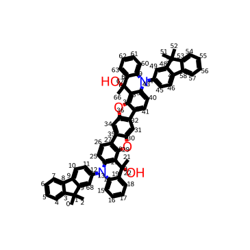 CC1(C)c2ccccc2-c2ccc(N3c4ccccc4C(C)(O)c4c3ccc3c4oc4cc5c(cc43)oc3c4c(ccc35)N(c3ccc5c(c3)C(C)(C)c3ccccc3-5)c3ccccc3C4(C)O)cc21